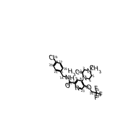 C[C@@H]1CN(C)CCN1c1cc(C(=O)NCc2ccc(Cl)cc2)ncc1OCC(F)(F)F